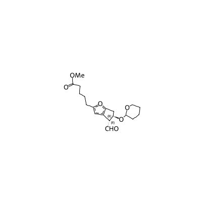 COC(=O)CCCCc1cc2c(o1)C[C@@H](OC1CCCCO1)[C@@H]2C=O